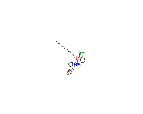 CCCCCCCCCCCCCCOc1c(Cl)cccc1CC(=O)Nc1ccccc1C[n+]1ccsc1C.[Br-]